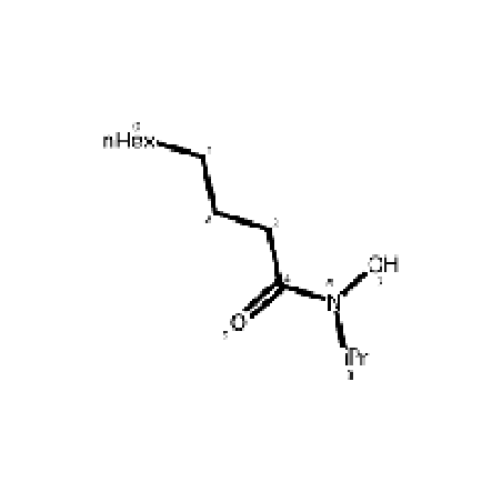 CCCCCCCCCC(=O)N(O)C(C)C